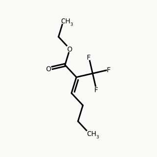 CCCC=C(C(=O)OCC)C(F)(F)F